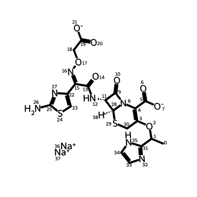 CC(OC1=C(C(=O)[O-])N2C(=O)[C@@H](NC(=O)/C(=N\OCC(=O)[O-])c3csc(N)n3)[C@@H]2SC1)c1ncc[nH]1.[Na+].[Na+]